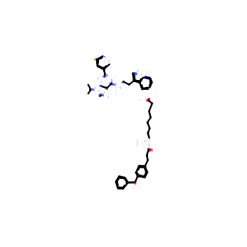 CC(C)N1C=NC2C(NCCc3c[nH]c4ccc(OC(=O)CCCCCCCNC(=O)CCc5ccc(C(=O)c6ccccc6)cc5)cc34)=NC(c3cncc(F)c3)=NC21